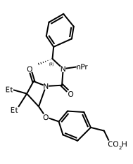 CCCN(C(=O)N1C(=O)C(CC)(CC)C1Oc1ccc(CC(=O)O)cc1)[C@H](C)c1ccccc1